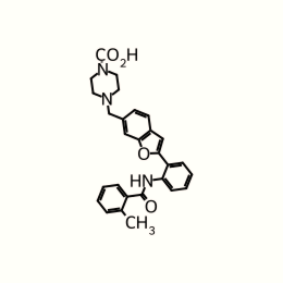 Cc1ccccc1C(=O)Nc1ccccc1-c1cc2ccc(CN3CCN(C(=O)O)CC3)cc2o1